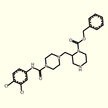 O=C(Nc1ccc(Cl)c(Cl)c1)N1CCN(CC2CNCCN2C(=O)OCc2ccccc2)CC1